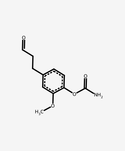 COc1cc(CCC=O)ccc1OC(N)=O